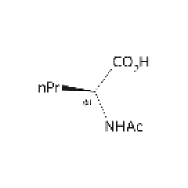 CCC[C@H](NC(C)=O)C(=O)O